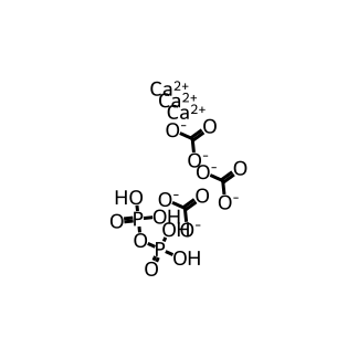 O=C([O-])[O-].O=C([O-])[O-].O=C([O-])[O-].O=P(O)(O)OP(=O)(O)O.[Ca+2].[Ca+2].[Ca+2]